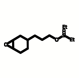 CC[SiH](CC)OCCCC1CCC2OC2C1